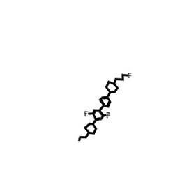 CCCC1CCC(c2cc(F)c(-c3ccc(C4CCC(CCCF)CC4)cc3)cc2F)CC1